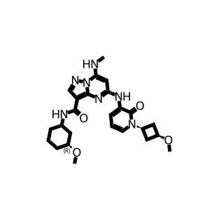 CNc1cc(Nc2cccn([C@H]3C[C@H](OC)C3)c2=O)nc2c(C(=O)NC3CCC[C@@H](OC)C3)cnn12